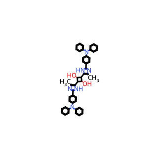 Cc1nc(-c2ccc(N(c3ccccc3)c3ccccc3)cc2)[nH]c1C1C(O)C(c2[nH]c(-c3ccc(N(c4ccccc4)c4ccccc4)cc3)nc2C)C1O